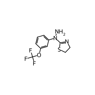 NN(C1=NCCS1)c1cccc(OC(F)(F)F)c1